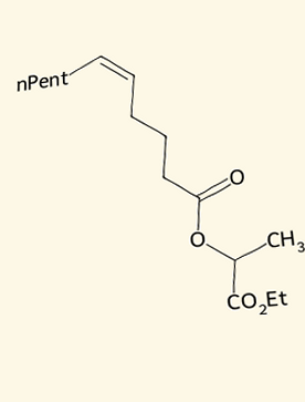 CCCCC/C=C\CCCC(=O)OC(C)C(=O)OCC